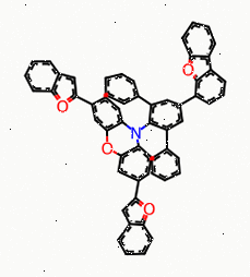 c1ccc(-c2cc(-c3cccc4c3oc3ccccc34)cc(-c3ccccc3)c2N2c3ccc(-c4cc5ccccc5o4)cc3Oc3cc(-c4cc5ccccc5o4)ccc32)cc1